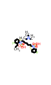 CCCc1c(F)ccc2sc(C=CC=CC=C3Sc4ccc(F)cc4N3S(=O)(=O)O)[n+](S(=O)(=O)O)c12.CCN(CC)CC